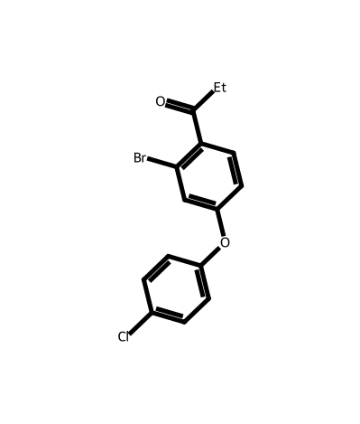 CCC(=O)c1ccc(Oc2ccc(Cl)cc2)cc1Br